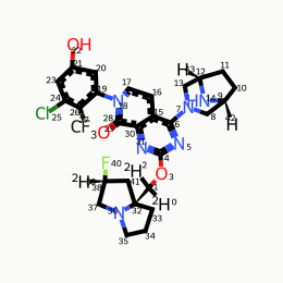 [2H]C([2H])(Oc1nc(N2C[C@H]3CC[C@@H](C2)N3)c2ccn(-c3cc(O)cc(Cl)c3C(F)(F)F)c(=O)c2n1)[C@@]12CCCN1C[C@]([2H])(F)C2